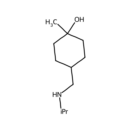 CC(C)NCC1CCC(C)(O)CC1